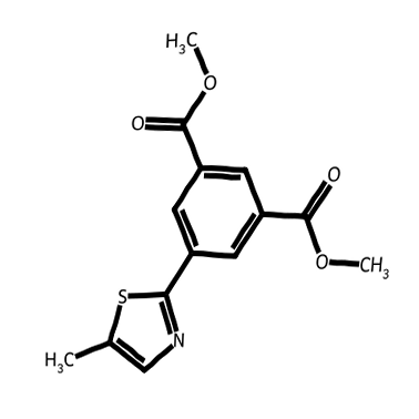 COC(=O)c1cc(C(=O)OC)cc(-c2ncc(C)s2)c1